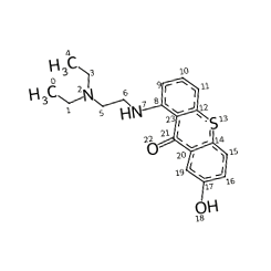 CCN(CC)CCNc1cccc2sc3ccc(O)cc3c(=O)c12